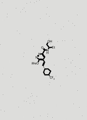 CCC(CO)NC(=O)c1cc(/C=C/[C@H]2CC[C@H](C(F)(F)F)CC2)c(OC)nn1